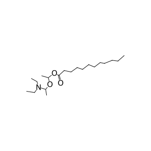 CCCCCCCCCCCC(=O)OC(C)OC(C)N(CC)CC